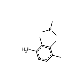 CP(C)C.Cc1ccc(P)c(C)c1C